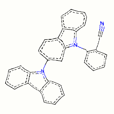 N#Cc1ccccc1-n1c2ccccc2c2ccc(-n3c4ccccc4c4ccccc43)cc21